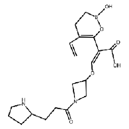 C=CC1=C(/C(=C/OC2CN(C(=O)CCC3CCCN3)C2)C(=O)O)OB(O)CC1